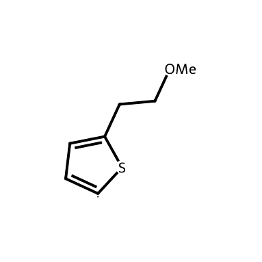 COCCc1cc[c]s1